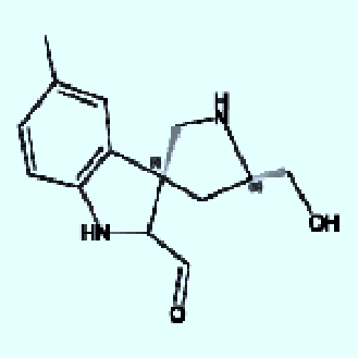 Cc1ccc2c(c1)[C@]1(CN[C@H](CO)C1)C(C=O)N2